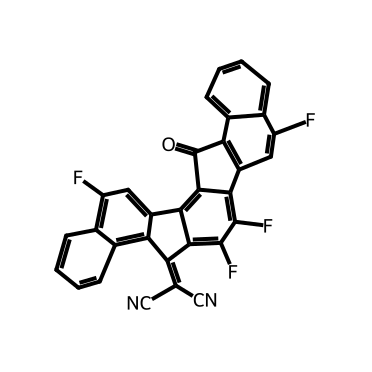 N#CC(C#N)=C1c2c(F)c(F)c3c(c2-c2cc(F)c4ccccc4c21)C(=O)c1c-3cc(F)c2ccccc12